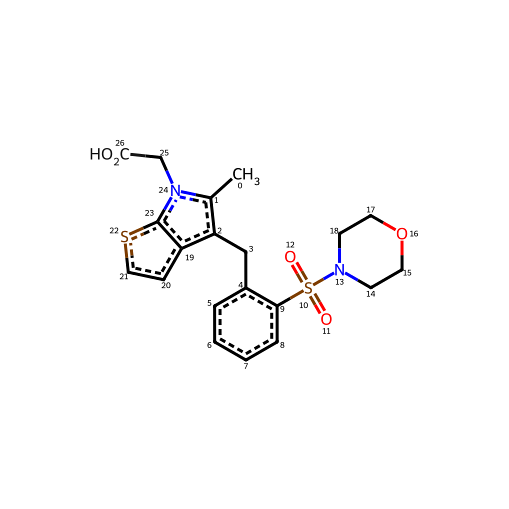 Cc1c(Cc2ccccc2S(=O)(=O)N2CCOCC2)c2ccsc2n1CC(=O)O